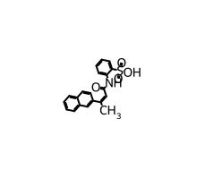 C/C(=C/C(=O)Nc1ccccc1S(=O)(=O)O)c1ccc2ccccc2c1